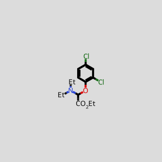 CCOC(=O)C(Oc1ccc(Cl)cc1Cl)N(CC)CC